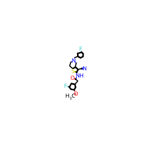 COc1cc(F)cc(CC(=O)Nc2sc3c(c2C#N)CN(Cc2cccc(F)c2)CC3)c1